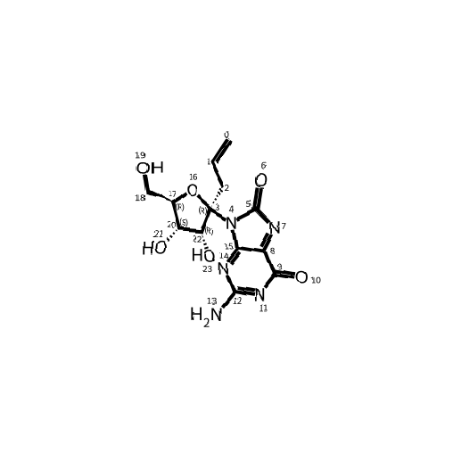 C=CC[C@@]1(N2C(=O)N=C3C(=O)N=C(N)N=C32)O[C@H](CO)[C@@H](O)[C@H]1O